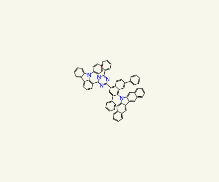 c1ccc(-c2ccc3c(-c4nc(-c5ccccc5)nc(-c5cccc6c7ccccc7n(-c7ccccc7)c56)n4)cc(-c4ccccc4)c(-n4c5cc6ccccc6cc5c5cc6ccccc6cc54)c3c2)cc1